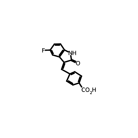 O=C1Nc2ccc(F)cc2/C1=C/c1ccc(C(=O)O)cc1